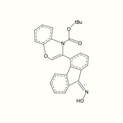 CC(C)(C)OC(=O)N1C(c2cccc3c2-c2ccccc2/C3=N\O)=COc2ccccc21